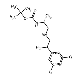 C[C@H](CNCC(O)c1cc(Cl)nc(Br)c1)NC(=O)OC(C)(C)C